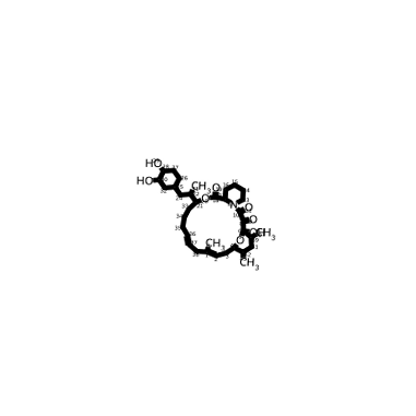 C/C1=C\CC2OC(O)(C(=O)C(=O)N3CCCCC3C(=O)OC(C(C)CC3CCC(O)C(O)C3)CCC/C=C/C1)C(C)CC2C